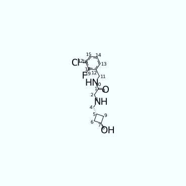 O=C(CNC[C@H]1C[C@H](O)C1)NCc1cccc(Cl)c1F